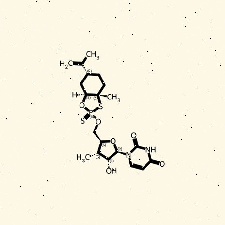 C=C(C)[C@@H]1CC[C@]2(C)S[P@@](=S)(OC[C@H]3O[C@@H](n4ccc(=O)[nH]c4=O)[C@H](O)[C@@H]3C)O[C@H]2C1